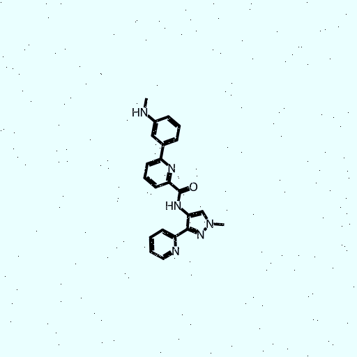 CNc1cccc(-c2cccc(C(=O)Nc3cn(C)nc3-c3ccccn3)n2)c1